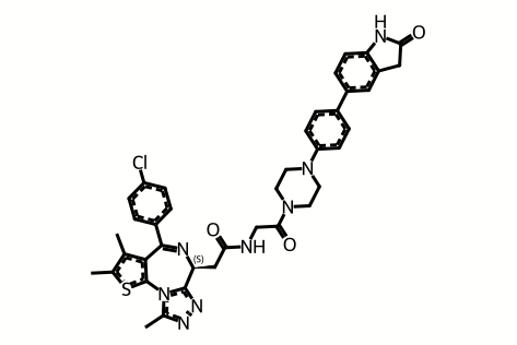 Cc1sc2c(c1C)C(c1ccc(Cl)cc1)=N[C@@H](CC(=O)NCC(=O)N1CCN(c3ccc(-c4ccc5c(c4)CC(=O)N5)cc3)CC1)c1nnc(C)n1-2